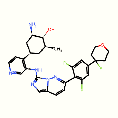 C[C@H]1C[C@@H](c2ccncc2Nc2ncc3ccc(-c4c(F)cc(C5(F)CCOCC5)cc4F)nn23)C[C@@H](N)[C@@H]1O